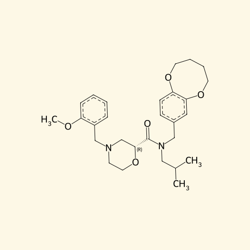 COc1ccccc1CN1CCO[C@@H](C(=O)N(Cc2ccc3c(c2)OCCCCO3)CC(C)C)C1